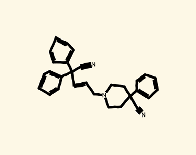 N#CC1(c2ccccc2)CCN(CC=CC(C#N)(c2ccccc2)c2ccccc2)CC1